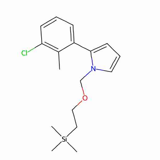 Cc1c(Cl)cccc1-c1cccn1COCC[Si](C)(C)C